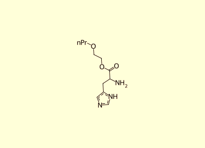 CCCOCCOC(=O)C(N)Cc1cnc[nH]1